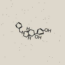 Oc1ccc(C2(O)CC[C@@H]3CN(Cc4ccccc4)CC[C@H]3C2)cc1